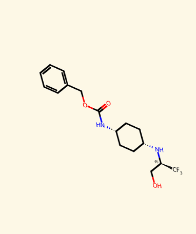 O=C(N[C@H]1CC[C@@H](N[C@H](CO)C(F)(F)F)CC1)OCc1ccccc1